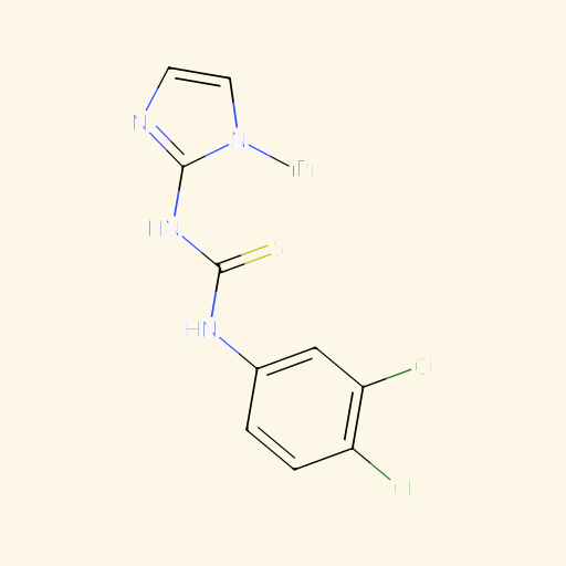 CC(C)n1ccnc1NC(=S)Nc1ccc(Cl)c(Cl)c1